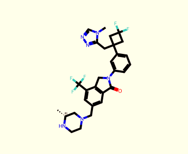 C[C@@H]1CN(Cc2cc3c(c(C(F)(F)F)c2)CN(c2cccc(C4(Cc5nncn5C)CC(F)(F)C4)c2)C3=O)CCN1